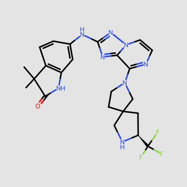 CC1(C)C(=O)Nc2cc(Nc3nc4c(N5CCC6(CN[C@H](C(F)(F)F)C6)C5)nccn4n3)ccc21